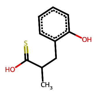 CC(Cc1ccccc1O)C(O)=S